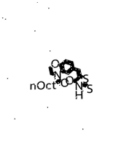 CCCCCCCCC(=O)N1CCOc2ccc(C=C3SC(=S)NC3=O)cc21